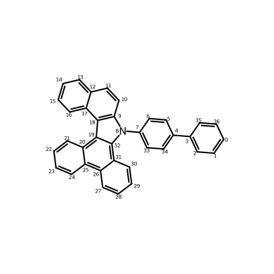 c1ccc(-c2ccc(-n3c4ccc5ccccc5c4c4c5ccccc5c5ccccc5c43)cc2)cc1